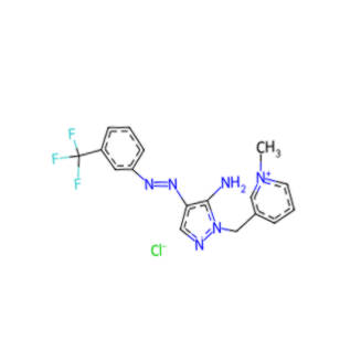 C[n+]1cccc(Cn2ncc(/N=N/c3cccc(C(F)(F)F)c3)c2N)c1.[Cl-]